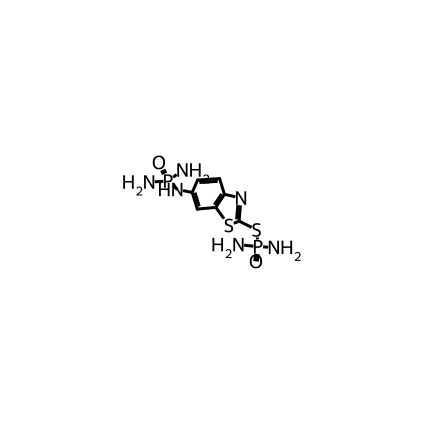 NP(N)(=O)Nc1ccc2nc(SP(N)(N)=O)sc2c1